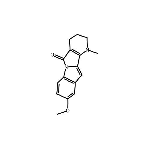 COc1ccc2c(c1)cc1n2C(=O)C2=C1N(C)CCC2